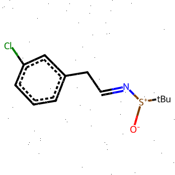 CC(C)(C)[S+]([O-])N=CCc1cccc(Cl)c1